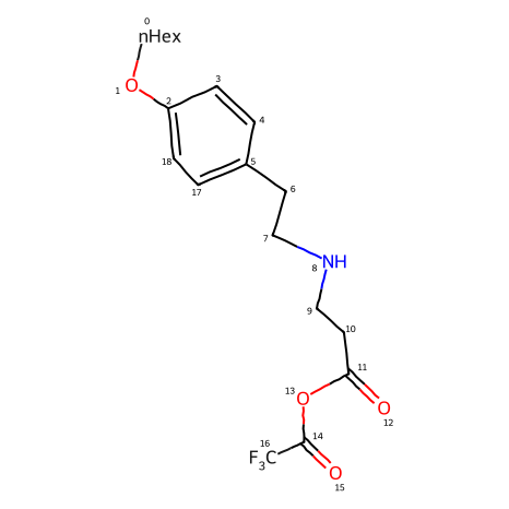 CCCCCCOc1ccc(CCNCCC(=O)OC(=O)C(F)(F)F)cc1